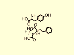 C[C@@H](N[C@@H](CCc1ccccc1)C(=O)O)C(=O)O.NC(Cc1ccc(O)cc1)C(=O)O